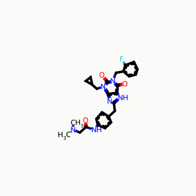 CN(C)CC(=O)Nc1ccc(Cc2nc3c([nH]2)c(=O)n(Cc2ccccc2F)c(=O)n3CC2CC2)cc1